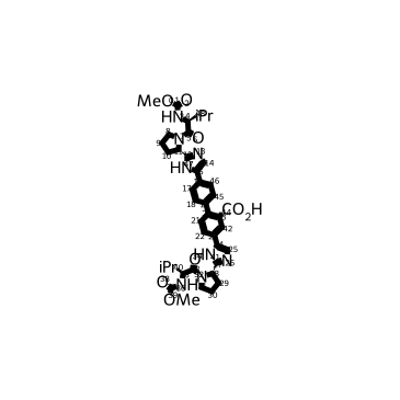 COC(=O)N[C@H](C(=O)N1CCC[C@H]1c1ncc(-c2ccc(-c3ccc(-c4cnc([C@@H]5CCCN5C(=O)[C@@H](NC(=O)OC)C(C)C)[nH]4)cc3C(=O)O)cc2)[nH]1)C(C)C